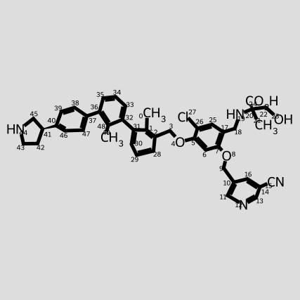 Cc1c(COc2cc(OCc3cncc(C#N)c3)c(CN[C@@](C)(CO)C(=O)O)cc2Cl)cccc1-c1cccc(-c2ccc([C@H]3CCNC3)cc2)c1C